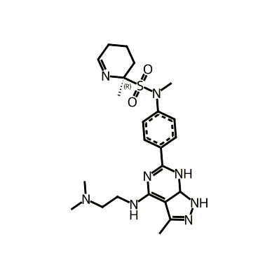 CC1=NNC2NC(c3ccc(N(C)S(=O)(=O)[C@]4(C)CCCC=N4)cc3)=NC(NCCN(C)C)=C12